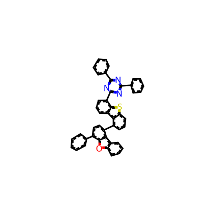 c1ccc(-c2nc(-c3ccccc3)nc(-c3cccc4c3sc3cccc(-c5ccc(-c6ccccc6)c6oc7ccccc7c56)c34)n2)cc1